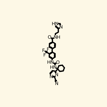 N#Cc1nccc(C2(NC(=O)Nc3ccc(-c4ccc(C(=O)NCCc5c[nH]cn5)cc4)c(C(F)(F)F)c3)CCCCC2)n1